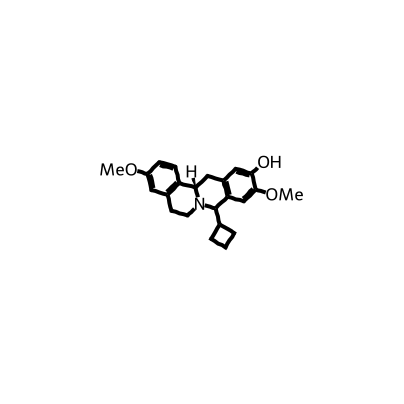 COc1ccc2c(c1)CCN1C(C3CCC3)c3cc(OC)c(O)cc3C[C@@H]21